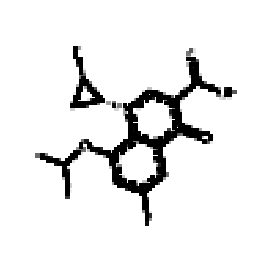 O=C(O)c1cn([C@@H]2C[C@H]2F)c2c(OC(F)F)[c]c(F)cc2c1=O